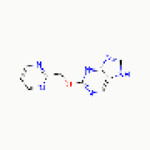 [c]1nc2nc(OCc3ncccn3)ncc2[nH]1